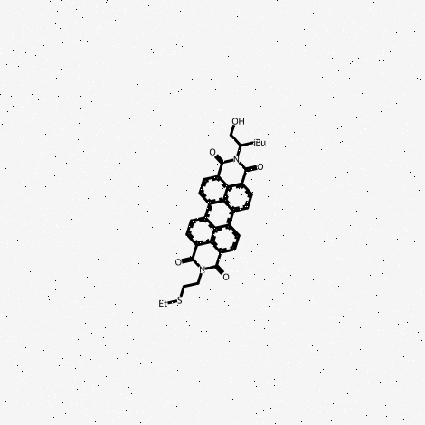 CCSCCN1C(=O)c2ccc3c4ccc5c6c(ccc(c7ccc(c2c37)C1=O)c64)C(=O)N(C(CO)C(C)CC)C5=O